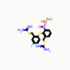 Br.Br.N=C(N)SCc1cc(F)ccc1Sc1c(CSC(=N)N)cccc1[N+](=O)[O-]